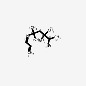 C=C/C=N\C(C)(C)CC(C)(C)C(C)C(C)C